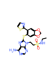 CCNS(=O)(=O)CCn1c(Sc2cc3c(cc2-c2nccs2)OCO3)nc2c(N)ncnc21